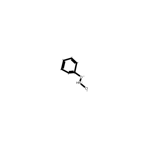 ClNOc1ccccc1